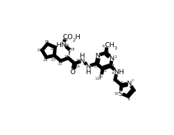 Cc1nc(NCc2nccs2)c(F)c(NNC(=O)[C@@H](CNC(=O)O)CC2CCCC2)n1